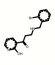 O=C(CCNCc1ccccc1Br)c1cccnc1O